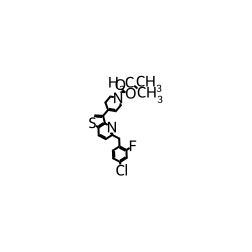 CC(C)(C)OC(=O)N1CC=C(c2csc3ccc(Cc4ccc(Cl)cc4F)nc23)CC1